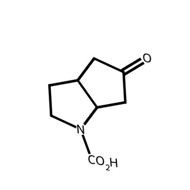 O=C1CC2CCN(C(=O)O)C2C1